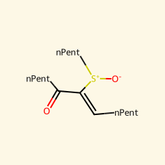 CCCCC/C=C(/C(=O)CCCCC)[S+]([O-])CCCCC